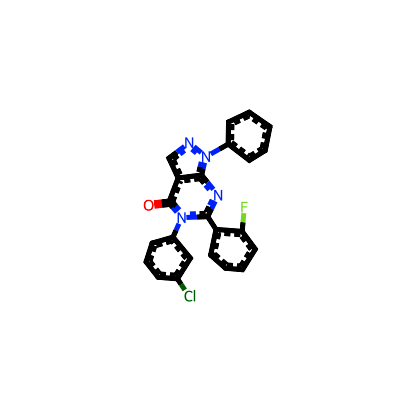 O=c1c2cnn(-c3ccccc3)c2nc(-c2ccccc2F)n1-c1cccc(Cl)c1